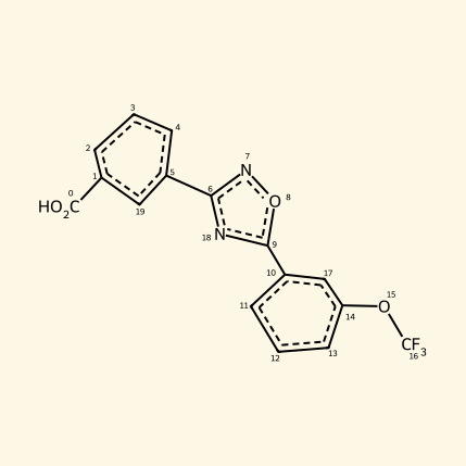 O=C(O)c1cccc(-c2noc(-c3cccc(OC(F)(F)F)c3)n2)c1